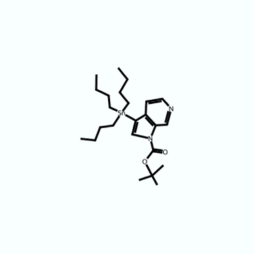 CCC[CH2][Sn]([CH2]CCC)([CH2]CCC)[c]1cn(C(=O)OC(C)(C)C)c2cnccc12